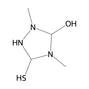 CN1NC(S)N(C)C1O